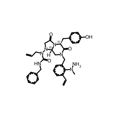 C=CCN(C(=O)NCc1ccccc1)N1CC(=O)N2[C@@H](Cc3ccc(O)cc3)C(=O)N(Cc3cccc(C=C)c3N(C)N)C[C@@H]21